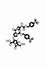 C[C@@H](O)[C@H]1C(=O)N2C(C(=O)O)=C(S[C@H]3C[C@@H](C(=O)N4CC(NC(=O)OCc5ccc([N+](=O)[O-])cc5)C4)N(C(=O)OCc4ccc([N+](=O)[O-])cc4)C3)[C@H](C)[C@H]12